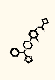 O=C(Nc1ccc(N2CCN(C(c3ccccc3)c3ncco3)CC2)c(F)c1)C1CCC1